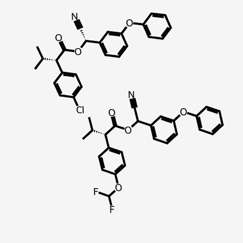 CC(C)[C@H](C(=O)OC(C#N)c1cccc(Oc2ccccc2)c1)c1ccc(OC(F)F)cc1.CC(C)[C@H](C(=O)O[C@H](C#N)c1cccc(Oc2ccccc2)c1)c1ccc(Cl)cc1